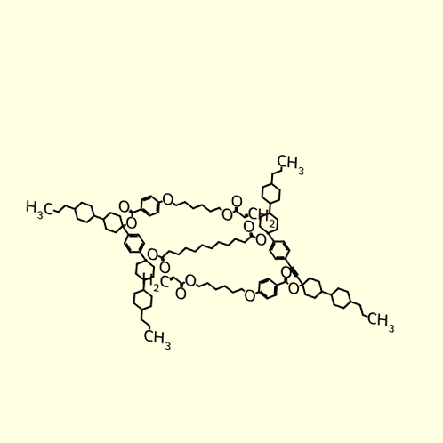 C=CC(=O)OCCCCCCOc1ccc(C(=O)OC2(C#Cc3ccc(C4(OC(=O)CCCCCCCCCCC(=O)OC5(c6ccc(C7(OC(=O)c8ccc(OCCCCCCOC(=O)C=C)cc8)CCC(C8CCC(CCC)CC8)CC7)cc6)CCC(C6CCC(CCC)CC6)CC5)CCC(C5CCC(CCC)CC5)CC4)cc3)CCC(C3CCC(CCC)CC3)CC2)cc1